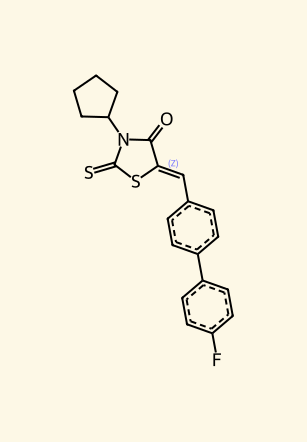 O=C1/C(=C/c2ccc(-c3ccc(F)cc3)cc2)SC(=S)N1C1CCCC1